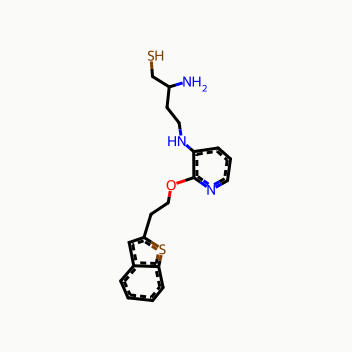 NC(CS)CCNc1cccnc1OCCc1cc2ccccc2s1